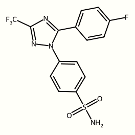 NS(=O)(=O)c1ccc(-n2nc(C(F)(F)F)nc2-c2ccc(F)cc2)cc1